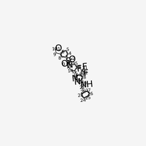 O=S(=O)(c1ccc2c(c1)CCO2)N1CCC(c2nnc(NCc3ccccc3)cc2C(F)(F)F)CC1